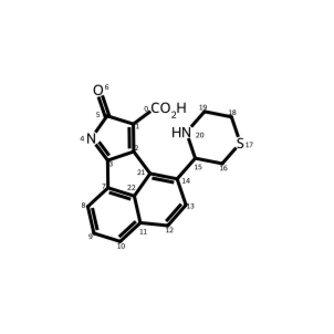 O=C(O)C1=C2C(=NC1=O)c1cccc3ccc(C4CSCCN4)c2c13